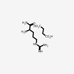 N=C(N)NCCCC(N)C(N)=O.O=C(O)CCC(=O)O